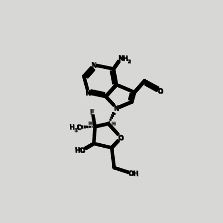 C[C@@]1(F)C(O)C(CO)O[C@H]1n1cc(C=O)c2c(N)ncnc21